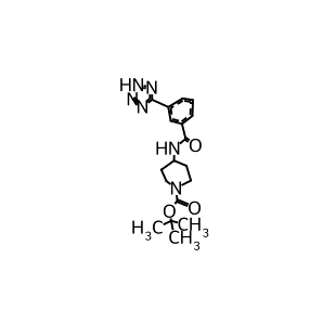 CC(C)(C)OC(=O)N1CCC(NC(=O)c2cccc(-c3nn[nH]n3)c2)CC1